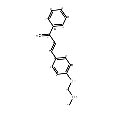 COCOc1ccc(/C=C/C(=O)c2ccccc2)cc1